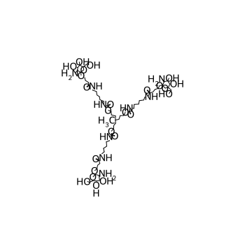 CC(CCCOC(=O)NCCCCCCNC(=O)CCCOC1OC(CO)C(O)C(O)C1N)(CCCOC(=O)NCCCCCCNC(=O)CCCOC1OC(CO)C(O)C(O)C1N)CCCOC(=O)NCCCCCCNC(=O)CCCOC1OC(CO)C(O)C(O)C1N